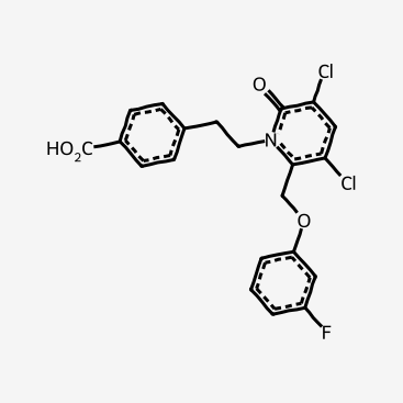 O=C(O)c1ccc(CCn2c(COc3cccc(F)c3)c(Cl)cc(Cl)c2=O)cc1